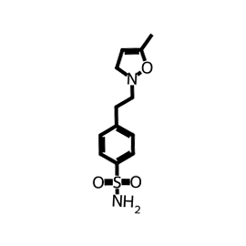 CC1=CCN(CCc2ccc(S(N)(=O)=O)cc2)O1